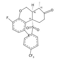 C[C@@H]1C(=O)CC[C@@]2(S(=O)(=O)c3ccc(C(F)(F)F)cc3)c3c(F)ccc(F)c3OC[C@@H]12